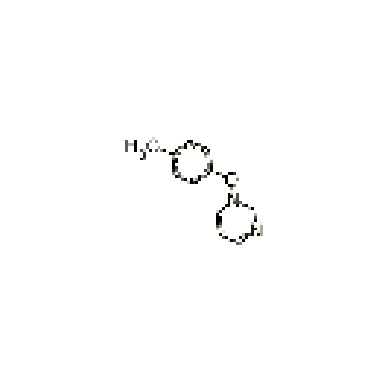 Cc1ccc(ON2C=C[C]=NC2)cc1